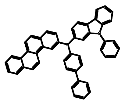 c1ccc(-c2ccc(N(c3ccc4ccc5c6ccccc6ccc5c4c3)c3ccc4c5ccccc5n(-c5ccccc5)c4c3)cc2)cc1